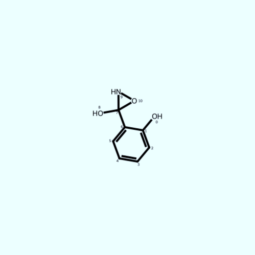 Oc1ccccc1C1(O)NO1